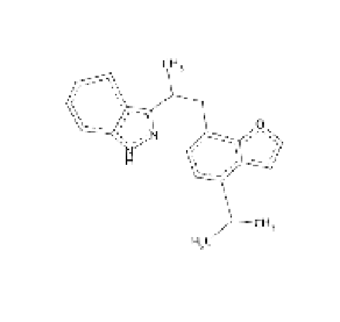 CC(C)c1ccc(CC(C)c2n[nH]c3ccccc23)c2occc12